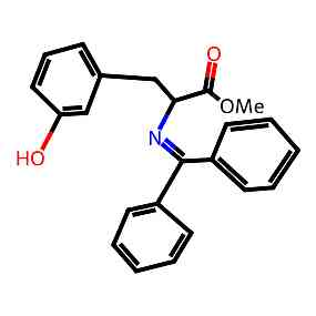 COC(=O)C(Cc1cccc(O)c1)N=C(c1ccccc1)c1ccccc1